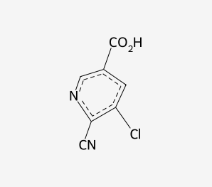 N#Cc1ncc(C(=O)O)cc1Cl